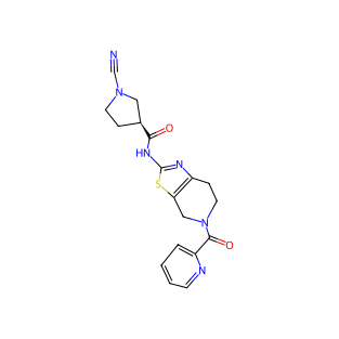 N#CN1CC[C@H](C(=O)Nc2nc3c(s2)CN(C(=O)c2ccccn2)CC3)C1